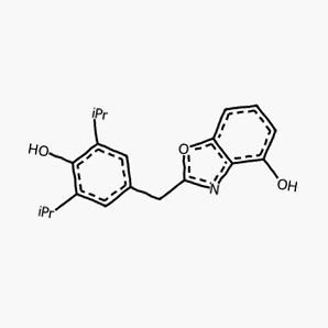 CC(C)c1cc(Cc2nc3c(O)cccc3o2)cc(C(C)C)c1O